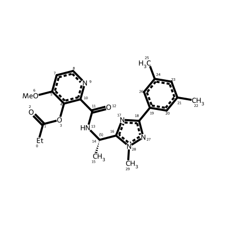 CCC(=O)Oc1c(OC)ccnc1C(=O)N[C@@H](C)c1nc(-c2cc(C)cc(C)c2)nn1C